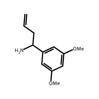 C=CCC(N)c1cc(OC)cc(OC)c1